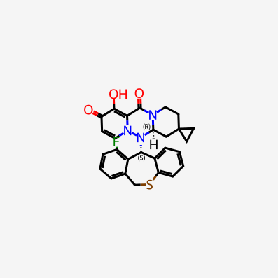 O=C1c2c(O)c(=O)ccn2N([C@@H]2c3ccccc3SCc3cccc(F)c32)[C@@H]2CC3(CCN12)CC3